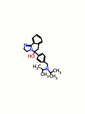 CC(C)N(Cc1ccc(C2(O)Cc3ccccc3C3=NCCN32)cc1)C(C)C